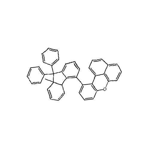 CC12C=CC=CC1c1c(-c3cccc4c3-c3cccc5cccc(c35)O4)cccc1C2(c1ccccc1)c1ccccc1